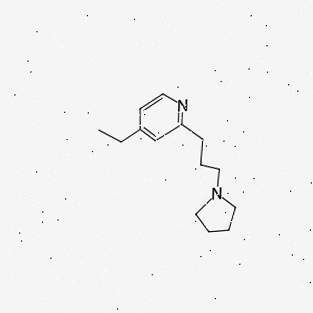 CCc1ccnc(CCCN2CCCC2)c1